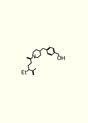 C=C(C)C(CC)CCC(=C)N1CCC(Cc2ccc(CO)cc2)CC1